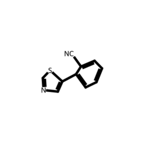 N#Cc1ccccc1-c1cncs1